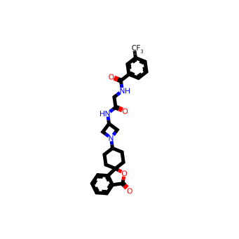 O=C(CNC(=O)c1cccc(C(F)(F)F)c1)NC1CN(C2CCC3(CC2)OC(=O)c2ccccc23)C1